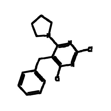 Clc1nc(Cl)c(Cc2ccccc2)c(N2CCCC2)n1